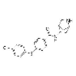 O=C(NC1CC2CC1CN2)c1ccc(Sc2ccc(Cl)cc2)cc1